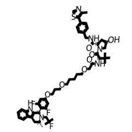 Cc1ncsc1-c1ccc(CNC(=O)[C@@H]2C[C@@H](O)CN2C(=O)[C@@H](NC(=O)COCCCCCOCCCOc2cc(F)c([C@@H]3c4[nH]c5ccccc5c4C[C@@H](C)N3CC(C)(C)F)c(F)c2)C(C)(C)C)cc1